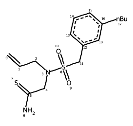 C=CCN(CC(N)=S)S(=O)(=O)Cc1cccc(CCCC)c1